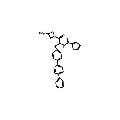 O=C(NC(Cc1ccc(-c2ncc(-c3ccccc3)cn2)cc1)C(=O)N1CC(C(=O)O)C1)c1cccs1